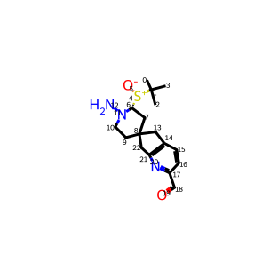 CC(C)(C)[S+]([O-])[C@@H]1CC2(CCN1N)Cc1ccc(C=O)nc1C2